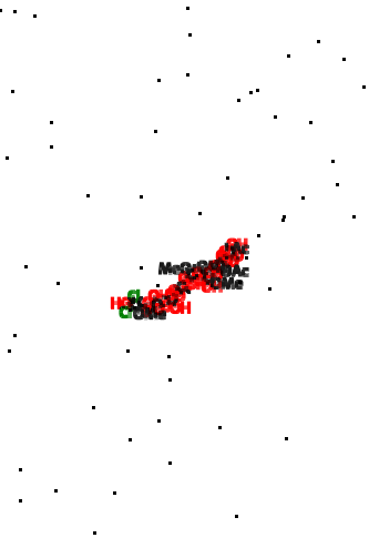 COCC1OC(OC2OCC3OC4(OC3C2OC(C)=O)OC(C)C(O)(C(C)=O)C2OCOC24)C(OC)C(O)C1OC1OC(C)C(OC)C(OC2CC3(C)OC4(CC(O)C(OC5CC(O)C(OC(=O)c6c(C)c(Cl)c(O)c(Cl)c6OC)C(C)O5)C(C)O4)OC3C(C)O2)C1O